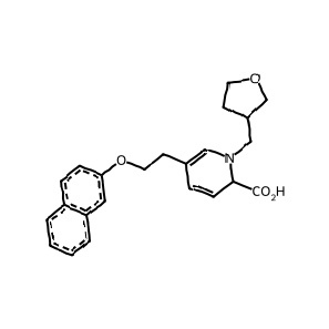 O=C(O)C1C=CC(CCOc2ccc3ccccc3c2)=CN1CC1CCOC1